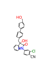 N#Cc1ccc(NC(=O)C(O)(Cc2ccc(-c3ccc(CO)cc3)cc2)c2ccccc2)cc1Cl